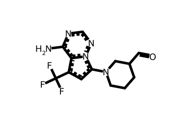 Nc1ncnn2c(N3CCCC(C=O)C3)cc(C(F)(F)F)c12